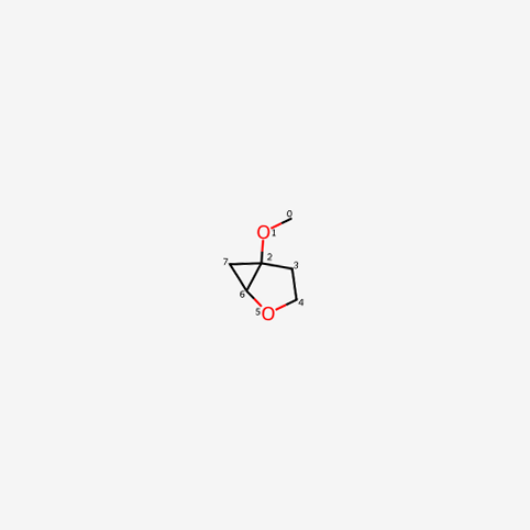 COC12CCOC1C2